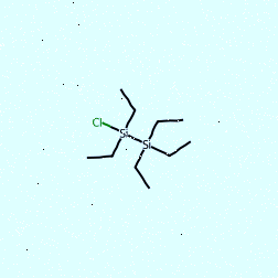 CC[Si](Cl)(CC)[Si](CC)(CC)CC